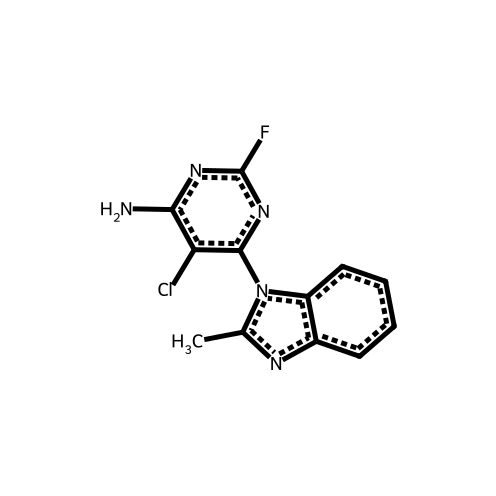 Cc1nc2ccccc2n1-c1nc(F)nc(N)c1Cl